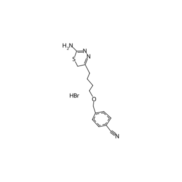 Br.N#Cc1ccc(COCCCCC2=NN=C(N)SC2)cc1